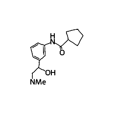 CNCC(O)c1cccc(NC(=O)C2CCCC2)c1